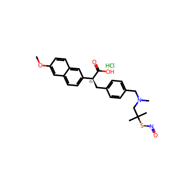 COc1ccc2cc([C@H](Cc3ccc(CN(C)CC(C)(C)SN=O)cc3)C(=O)O)ccc2c1.Cl